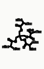 CCCCCCCCCCC(CCCCCCCC)C(=O)OCC(COC(=O)C(CCCCCCCC)CCCCCCCCCC)(COC(=O)C(CCCCCCCC)CCCCCCCCCC)COC(=O)C(CCCCCCCC)CCCCCCCCCC